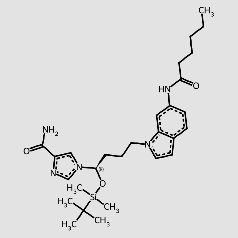 CCCCCC(=O)Nc1ccc2ccn(CCC[C@@H](O[Si](C)(C)C(C)(C)C)n3cnc(C(N)=O)c3)c2c1